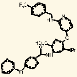 CC(C)c1cc(NC(=O)c2ccc(Oc3ccccc3)cc2)c(C(=O)O)cc1Oc1ccnc(NCc2ccc(C(F)(F)F)cc2)c1